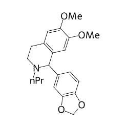 CCCN1CCc2cc(OC)c(OC)cc2C1c1ccc2c(c1)OCO2